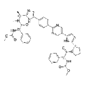 COC(=O)N[C@@H](C(=O)N(C)[C@@H](C)c1ncc(-c2ccc(-c3ncc(-c4cnc([C@@H]5CCCN5C(=O)[C@H](NC(=O)OC)c5ccccc5)[nH]4)cn3)cc2)[nH]1)c1ccccc1